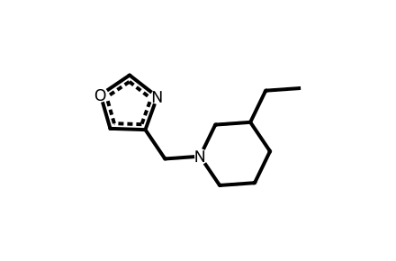 CCC1CCCN(Cc2cocn2)C1